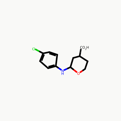 O=C(O)C1CCOC(Nc2ccc(Cl)cc2)C1